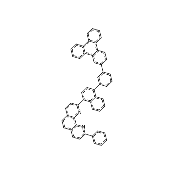 c1ccc(-c2ccc3ccc4ccc(-c5ccc(-c6cccc(-c7ccc8c9ccccc9c9ccccc9c8c7)c6)c6ccccc56)nc4c3n2)cc1